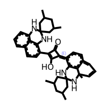 CC1CC(C)CC2(C1)Nc1cccc3ccc(C4=C(O)/C(=c5/ccc6c7c5NC5(CC(C)CC(C)C5)NC7(C)C=CC=6)C4=O)c(c13)N2